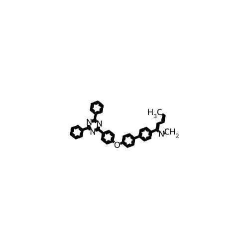 C=N/C(=C\C=C/C)c1ccc(-c2ccc(Oc3ccc(-c4nc(-c5ccccc5)nc(-c5ccccc5)n4)cc3)cc2)cc1